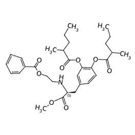 CCCC(C)C(=O)Oc1ccc(C[C@H](NCCOC(=O)c2ccccc2)C(=O)OC)cc1OC(=O)C(C)CCC